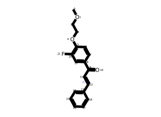 COCCOc1ccc(C(=O)/C=C/c2ccccc2)cc1F